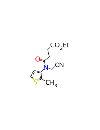 CCOC(=O)CCC(=O)N(CC#N)c1ccsc1C